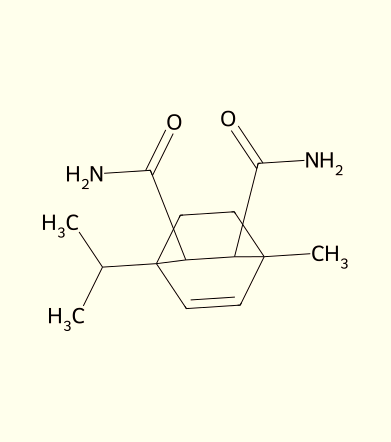 CC(C)C12C=CC(C)(CC1)C(C(N)=O)C2C(N)=O